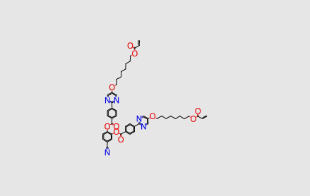 C=CC(=O)OCCCCCCCCOc1cnc(-c2ccc(C(=O)Oc3ccc(C#N)cc3OC(=O)c3ccc(-c4ncc(OCCCCCCCCOC(=O)C=C)cn4)cc3)cc2)nc1